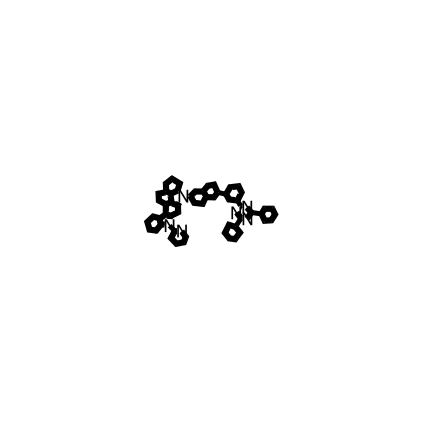 c1ccc(-c2nc(-c3ccccc3)nc(-c3cccc(-c4ccc5cc(-n6c7cccc8ccc9c%10c%11ccccc%11n(-c%11ccccn%11)c%10cc6c9c87)ccc5c4)c3)n2)cc1